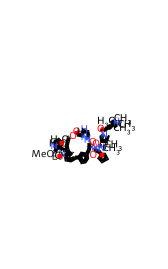 CCn1c(-c2cccnc2[C@H](C)OC)c2c3cc(ccc31)-c1cccc(c1)C[C@H](NC(=O)[C@H](C1CCCC1)N(C)C(=O)[C@@H]1CN(C(=O)C#CC(C)(C)N(C)C)C[C@@H]1C)C(=O)N1CCC[C@H](N1)C(=O)OCC(C)(C)C2